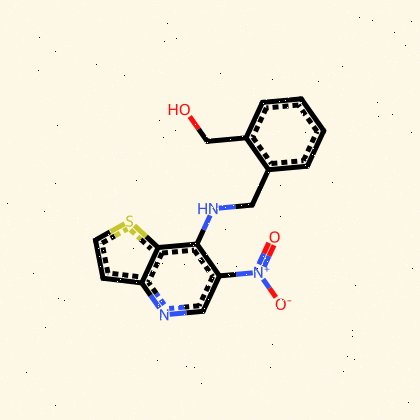 O=[N+]([O-])c1cnc2ccsc2c1NCc1ccccc1CO